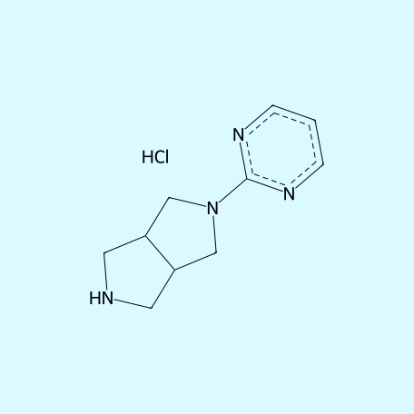 Cl.c1cnc(N2CC3CNCC3C2)nc1